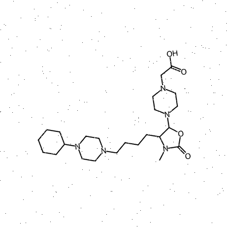 CN1C(=O)OC(N2CCN(CC(=O)O)CC2)C1CCCCN1CCN(C2CCCCC2)CC1